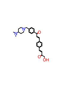 CN(C)C1CCN(Cc2ccc(C(=O)/C=C/c3ccc(/C=C/C(=O)CO)cc3)cc2)CC1